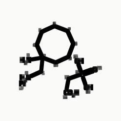 NCC1(N)CCCCCCC1.O=C(O)CP(=O)(O)O.[Pt]